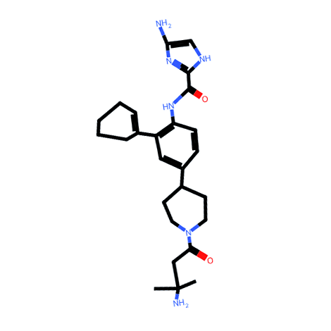 CC(C)(N)CC(=O)N1CCC(c2ccc(NC(=O)c3nc(N)c[nH]3)c(C3=CCCCC3)c2)CC1